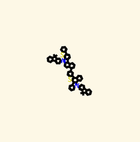 CC1(C)c2ccccc2-c2ccc(-n3c4ccc5c(-c6ccc7sc8c(c7c6)c6ccccc6c6c8c7ccccc7n6-c6ccc7c(c6)C(C)(C)c6ccccc6-7)cccc5c4c4ccc5c6ccccc6sc5c43)cc21